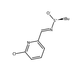 CC(C)(C)[S@+]([O-])N=Cc1cccc(Cl)n1